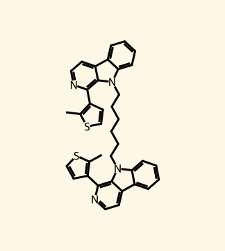 Cc1sccc1-c1nccc2c3ccccc3n(CCCCCCn3c4ccccc4c4ccnc(-c5ccsc5C)c43)c12